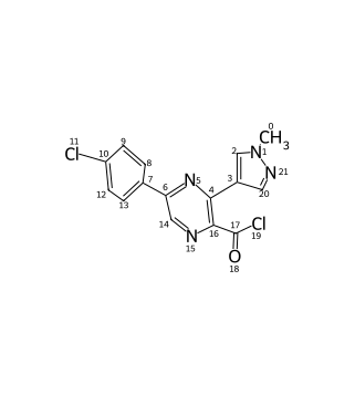 Cn1cc(-c2nc(-c3ccc(Cl)cc3)cnc2C(=O)Cl)cn1